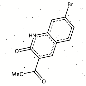 COC(=O)c1cc2ccc(Br)cc2[nH]c1=O